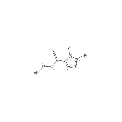 CCCOOC(=O)c1cnn(CCC)c1C